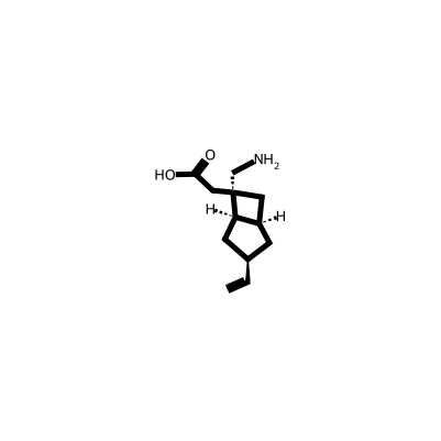 C=C[C@@H]1C[C@@H]2C[C@](CN)(CC(=O)O)[C@@H]2C1